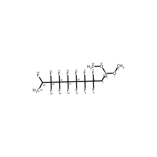 CO[SiH](CC(F)(F)C(F)(F)C(F)(F)C(F)(F)C(F)(F)C(F)(F)C(C)F)OC